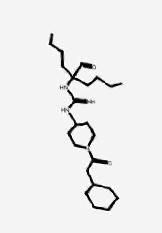 CCCCC(C=O)(CCCC)NC(=N)NC1CCN(C(=O)CC2CCCCC2)CC1